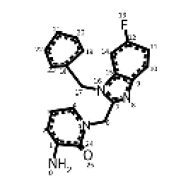 Nc1cccn(Cc2nc3ccc(F)cc3n2Cc2ccccc2)c1=O